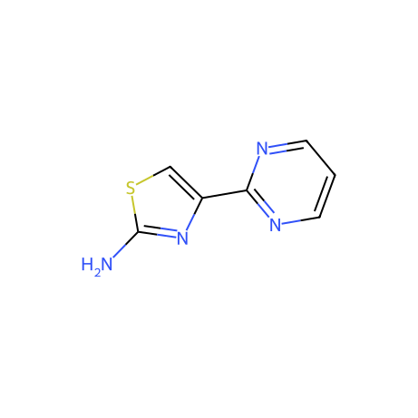 Nc1nc(-c2ncccn2)cs1